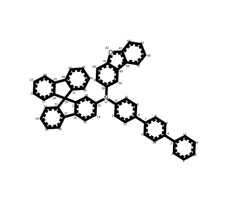 c1ccc(-c2ccc(-c3ccc(N(c4ccc5c(c4)C4(c6ccccc6-c6ccccc64)c4ccccc4-5)c4ccc5oc6ccccc6c5c4)cc3)cc2)cc1